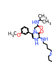 COc1cccc(C2=CNC(NCCCCN3CCCCC3)C(=O)N2CC(=O)NC(C)C)c1